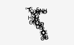 CC(C)CON=C(C(=O)NC1C(=O)N2CC(O)(C(=O)OCc3ccc([N+](=O)[O-])cc3)CS[C@H]12)c1csc(NC=O)n1